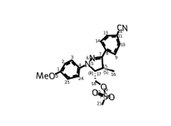 COc1ccc(N2N=C(c3ccc(C#N)cc3)[C@@H](C)[C@@H]2COS(C)(=O)=O)cc1